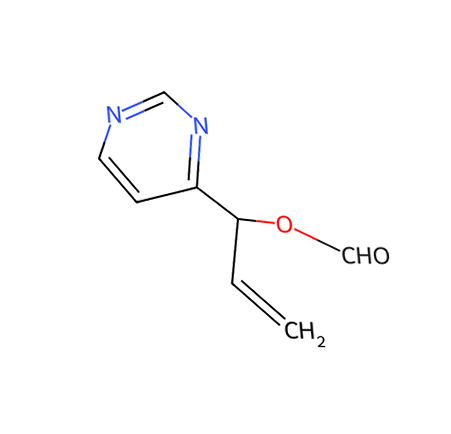 C=CC(OC=O)c1ccncn1